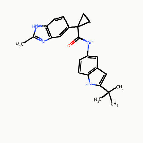 Cc1nc2cc(C3(C(=O)Nc4ccc5[nH]c(C(C)(C)C)cc5c4)CC3)ccc2[nH]1